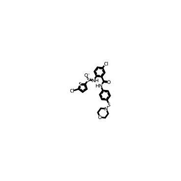 O=C(Nc1ccc(SN2CCOCC2)cc1)c1cc(Cl)ccc1N[S+]([O-])c1ccc(Cl)s1